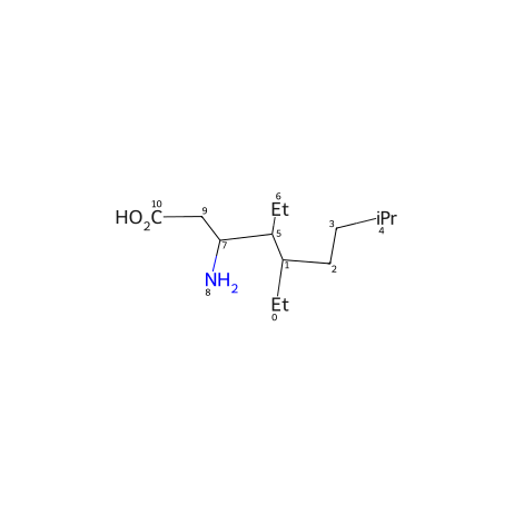 CCC(CCC(C)C)C(CC)C(N)CC(=O)O